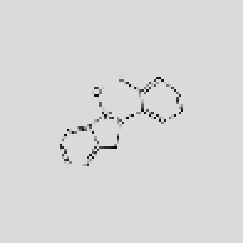 [O-][S+]1c2ccccc2CN1c1ccccc1F